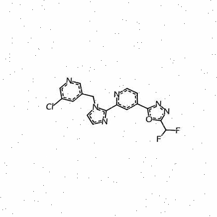 FC(F)c1nnc(-c2ccnc(-c3nccn3Cc3cncc(Cl)c3)c2)o1